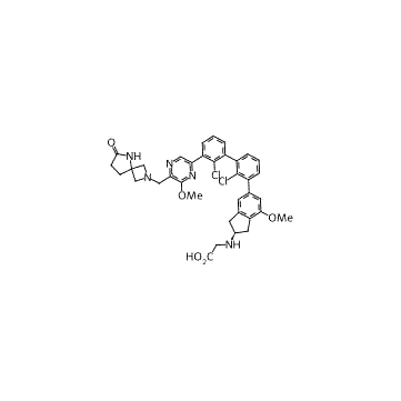 COc1cc(-c2cccc(-c3cccc(-c4cnc(CN5CC6(CCC(=O)N6)C5)c(OC)n4)c3Cl)c2Cl)cc2c1C[C@@H](NCC(=O)O)C2